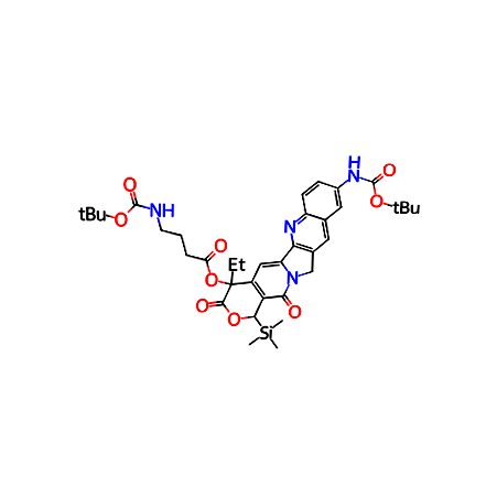 CCC1(OC(=O)CCCNC(=O)OC(C)(C)C)C(=O)OC([Si](C)(C)C)c2c1cc1n(c2=O)Cc2cc3cc(NC(=O)OC(C)(C)C)ccc3nc2-1